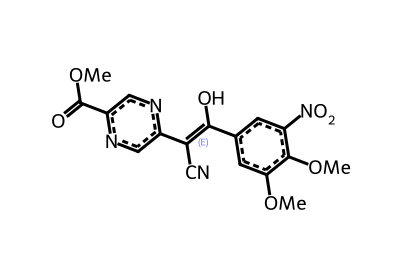 COC(=O)c1cnc(/C(C#N)=C(\O)c2cc(OC)c(OC)c([N+](=O)[O-])c2)cn1